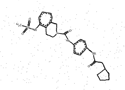 CS(=O)(=O)Nc1cccc2c1CCN(C(=O)Nc1ccc(NC(=O)CC3CCCC3)cc1)C2